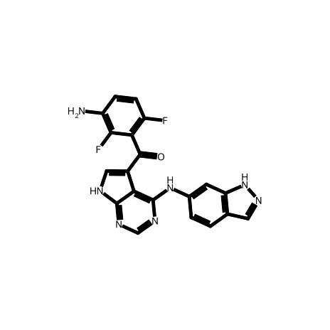 Nc1ccc(F)c(C(=O)c2c[nH]c3ncnc(Nc4ccc5cn[nH]c5c4)c23)c1F